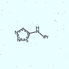 CC(C)Nc1[c]nns1